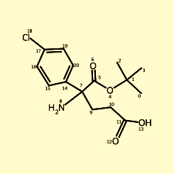 CC(C)(C)OC(=O)C(N)(CCC(=O)O)c1ccc(Cl)cc1